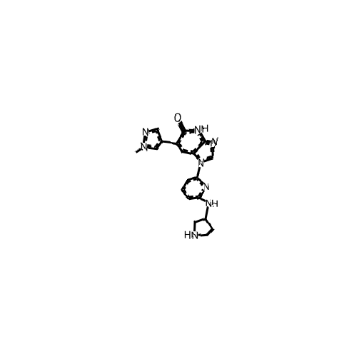 Cn1cc(-c2cc3c(ncn3-c3cccc(NC4CCNC4)n3)[nH]c2=O)cn1